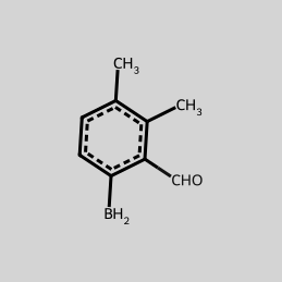 Bc1ccc(C)c(C)c1C=O